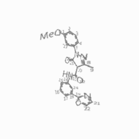 COc1cccc(N2N=C(C)C(C(=O)Nc3cccc(-c4ncco4)c3)C2=O)c1